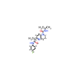 CC(C)NC(=O)N1CCCc2nc(C(C)C(=O)Nc3ccc(F)cc3)ccc21